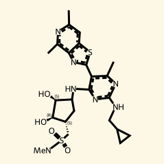 CNS(=O)(=O)C[C@H]1CC(Nc2nc(NCC3CC3)nc(C)c2-c2nc3c(C)nc(C)cc3s2)[C@H](O)[C@@H]1O